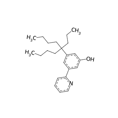 CCCCC(CCC)(CCCC)c1cc(O)cc(-c2ccccn2)c1